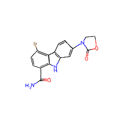 NC(=O)c1ccc(Br)c2c1[nH]c1cc(N3CCOC3=O)ccc12